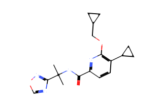 CC(C)(NC(=O)c1ccc(C2CC2)c(OCC2CC2)n1)c1ncon1